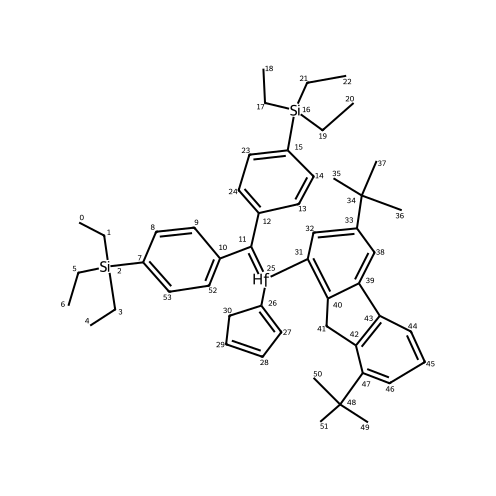 CC[Si](CC)(CC)c1ccc([C](c2ccc([Si](CC)(CC)CC)cc2)=[Hf]([C]2=CC=CC2)[c]2cc(C(C)(C)C)cc3c2Cc2c-3cccc2C(C)(C)C)cc1